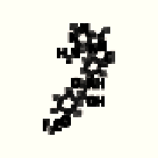 Cc1nn(-c2ccc(NC(=O)C(O)c3cccc(OC(F)(F)F)c3)cc2Cl)c2c(N)ncnc12